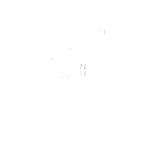 CCOC(N[C@H](CO)C(C)C)(OCC)OCc1ccccc1